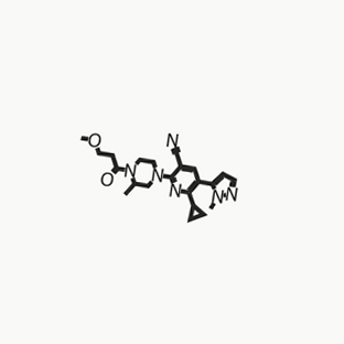 COCCC(=O)N1CCN(c2nc(C3CC3)c(-c3ccnn3C)cc2C#N)CC1C